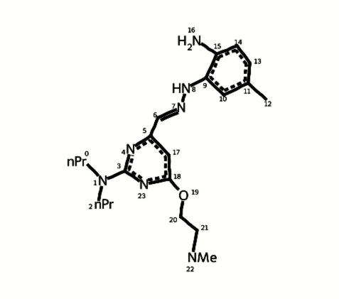 CCCN(CCC)c1nc(/C=N/Nc2cc(C)ccc2N)cc(OCCNC)n1